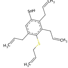 C=CCSc1c(CC=C)c[c]([SnH])c(CC=C)c1CC=C